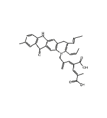 C=C(/C=C(\C=C(/C)C(=O)O)C(=O)O)CN1C(/C=C\C)=C(/C=C/C)Cc2cc3[nH]c4ccc(C)cc4c(=O)c3cc21